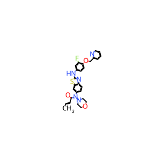 C/C=C/C(=O)N(c1ccc2nc(Nc3ccc(OCc4ccccn4)c(F)c3)sc2c1)N1CCOCC1